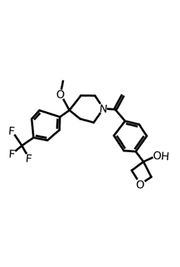 C=C(c1ccc(C2(O)COC2)cc1)N1CCC(OC)(c2ccc(C(F)(F)F)cc2)CC1